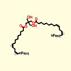 CCCCC/C=C\C/C=C\CCCCCCCC(=O)OCC(CO)(CO)COC(=O)CCCCCCC/C=C\C/C=C\CCCCC